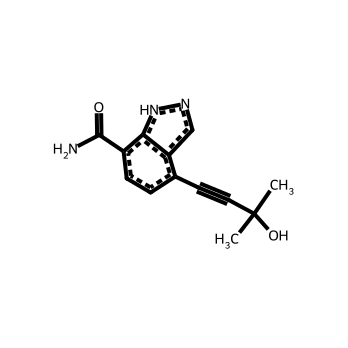 CC(C)(O)C#Cc1ccc(C(N)=O)c2[nH]ncc12